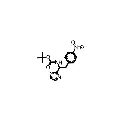 CC(C)(C)OC(=O)NC(Cc1ccc([N+](=O)[O-])cc1)c1nccs1